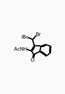 CCC(C)C(Br)C1=C(NC(C)=O)C(=O)c2ccccc21